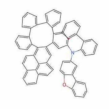 c1ccc(-c2ccccc2N(c2ccc3oc4ccccc4c3c2)c2ccc3c4ccccc4c4ccccc4c4ccccc4c4c(cc5ccc6cccc7ccc4c5c67)c3c2)cc1